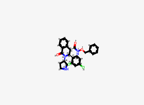 O=C(NOCc1ccccc1)[C@H]1c2ccccc2C(=O)N([C@@H]2CCNC2)[C@@H]1c1ccc(Cl)cc1Cl